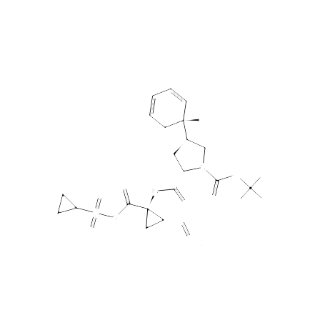 C=C[C@@H]1C[C@]1(NC(=O)[C@@H]1C[C@@H]([C@@]2(C)C=CC=CC2)CN1C(=O)OC(C)(C)C)C(=O)NS(=O)(=O)C1CC1